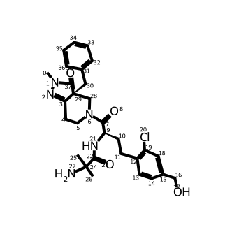 CN1N=C2CCN(C(=O)[C@@H](CCc3ccc(CO)cc3Cl)NC(=O)C(C)(C)N)C[C@@]2(Cc2ccccc2)C1=O